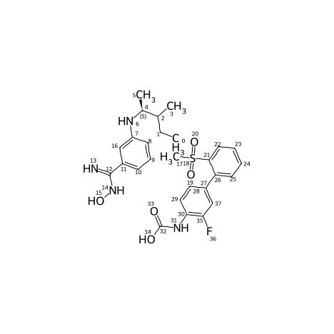 CCC(C)[C@H](C)Nc1cccc(C(=N)NO)c1.CS(=O)(=O)c1ccccc1-c1ccc(NC(=O)O)c(F)c1